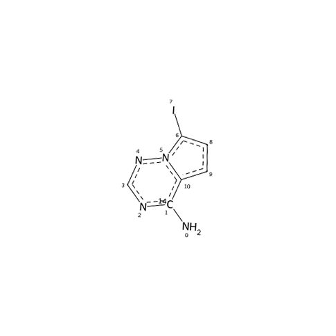 N[14c]1ncnn2c(I)ccc12